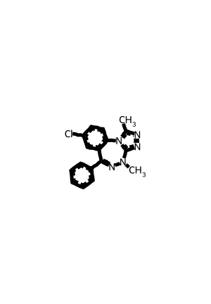 Cc1nnc2n1-c1ccc(Cl)cc1C(c1ccccc1)=NN2C